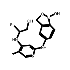 CCC(CO)Nc1cc(Nc2ccc3c(c2)COB3O)ncc1C